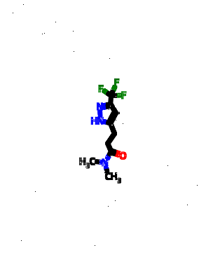 CN(C)C(=O)CCc1[c]c(C(F)(F)F)n[nH]1